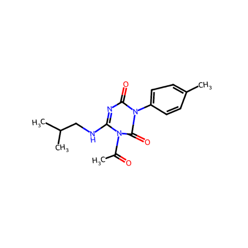 CC(=O)n1c(NCC(C)C)nc(=O)n(-c2ccc(C)cc2)c1=O